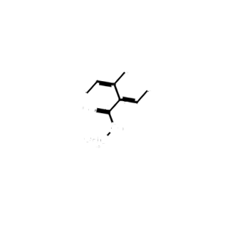 C/C=C(C)\C(=C/C)C(=O)OC=O